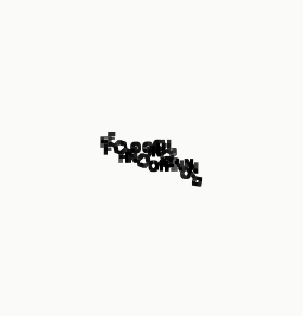 CN1C(=O)c2cc(NC(=O)c3ccc(C(F)(F)F)cc3)ccc2OC[C@@H]2O[C@H](CNc3nnc(C4CCC4)o3)CC[C@@H]21